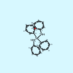 c1ccc(N[Si](Nc2ccccc2)(c2ccccc2)c2ccccc2)cc1